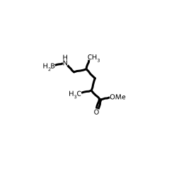 BNCC(C)CC(C)C(=O)OC